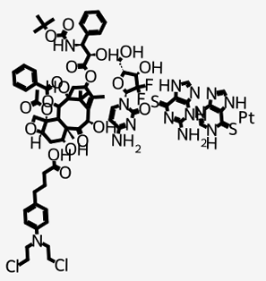 CC(=O)O[C@@]12CO[C@@H]1C[C@H](O)[C@@]1(C)C(=O)[C@H](O)C3=C(C)C(OC(=O)[C@H](O)[C@@H](NC(=O)OC(C)(C)C)c4ccccc4)C[C@@](O)(C(OC(=O)c4ccccc4)C12)C3(C)C.Nc1ccn([C@@H]2O[C@H](CO)[C@@H](O)C2(F)F)c(=O)n1.Nc1nc(=S)c2[nH]cnc2[nH]1.O=C(O)CCCc1ccc(N(CCCl)CCCl)cc1.S=c1[nH]cnc2nc[nH]c12.[Pt]